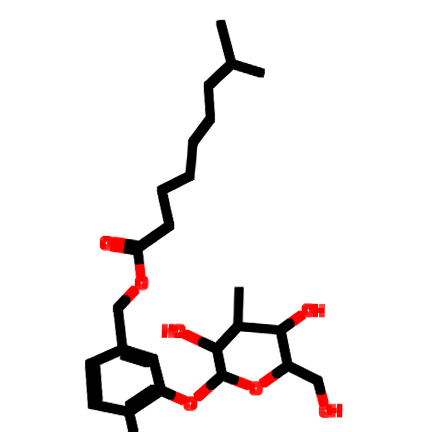 Cc1ccc(COC(=O)CCCCCCC(C)C)cc1OC1OC(CO)C(O)C(C)C1O